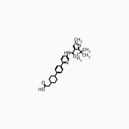 Cn1cc(C(=O)Nc2ccc(-c3ccc(C4CCC(CC(=O)O)CC4)cc3)nc2)c(C(C)(C)C)n1